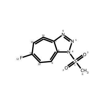 CS(=O)(=O)n1nnc2c1=CC=C(F)C=C=2